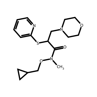 CN(OCC1CC1)C(=O)C(CN1CCOCC1)Sc1ccccn1